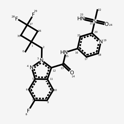 CC1(Cn2nc3cc(F)ccc3c2C(=O)Nc2ccnc(S(C)(=N)=O)c2)CC(F)(F)C1